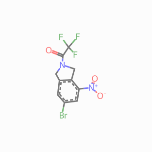 O=C(N1Cc2cc(Br)cc([N+](=O)[O-])c2C1)C(F)(F)F